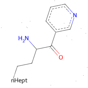 CCCCCCCCCC(N)C(=O)c1cccnc1